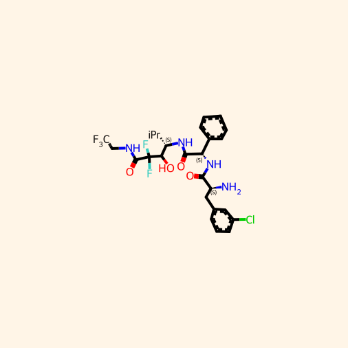 CC(C)[C@H](NC(=O)[C@@H](NC(=O)[C@@H](N)Cc1cccc(Cl)c1)c1ccccc1)C(O)C(F)(F)C(=O)NCC(F)(F)F